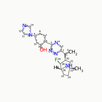 C=C(c1cnc(-c2ccc(-n3ccnc3)cc2O)nn1)[C@H]1C[C@]2(C)CC[C@@H](N2)[C@H]1F